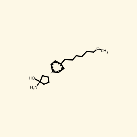 COCCCCCCc1ccc([C@@H]2CC[C@](N)(O)C2)cc1